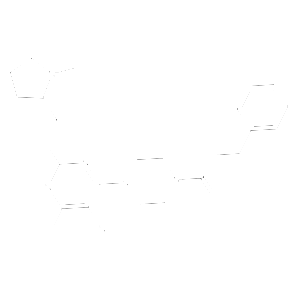 CN1CCCC1COc1nc(C(=O)O)c(N)c(N2CCN(C(=O)OCc3ccccc3)CC2)n1